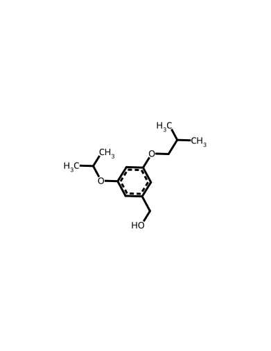 CC(C)COc1cc(CO)cc(OC(C)C)c1